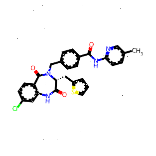 Cc1ccc(NC(=O)c2ccc(CN3C(=O)c4ccc(Cl)cc4NC(=O)[C@H]3Cc3cccs3)cc2)nc1